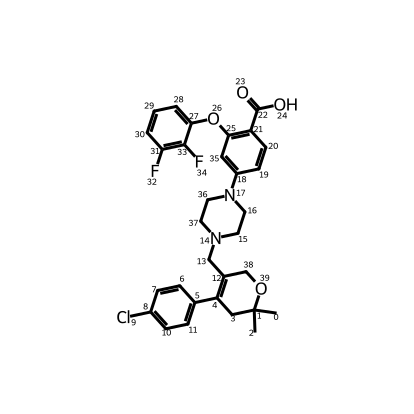 CC1(C)CC(c2ccc(Cl)cc2)=C(CN2CCN(c3ccc(C(=O)O)c(Oc4cccc(F)c4F)c3)CC2)CO1